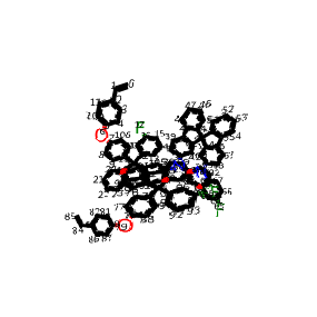 C=Cc1ccc(Oc2ccc(C3(c4cccc(F)c4)c4ccccc4-c4ccc(N(c5ccc(F)cc5)c5ccc6c(c5)C5(c7ccccc7-6)c6ccccc6-c6ccc(N(c7ccc(F)cc7)c7ccc8c(c7)C(c7ccc(Oc9ccc(C=C)cc9)cc7)(c7cccc(F)c7)c7ccccc7-8)cc65)cc43)cc2)cc1